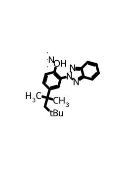 CC(C)(C)CC(C)(C)c1ccc(O)c(-n2nc3ccccc3n2)c1.[N]